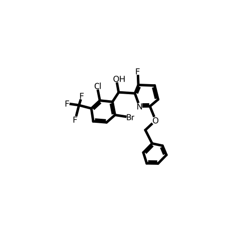 OC(c1nc(OCc2ccccc2)ccc1F)c1c(Br)ccc(C(F)(F)F)c1Cl